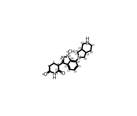 Cn1nc(C2CCC(=O)NC2=O)c2cccc(N3CC4CCNCC4C3)c21